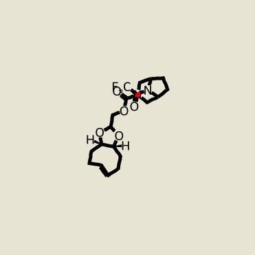 O=C(OCC1O[C@H]2CC/C=C/CC[C@H]2O1)N1CC2CCC(C1)N2C(=O)C(F)(F)F